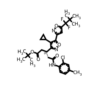 Cc1ccc(NC(=O)C[C@H](CC(=O)OC(C)(C)C)c2noc(-c3cc(C(F)(F)C(C)(C)C)on3)c2C2CC2)c(Cl)c1